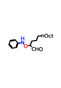 CCCCCCCCCCCC(C=O)ONc1ccccc1